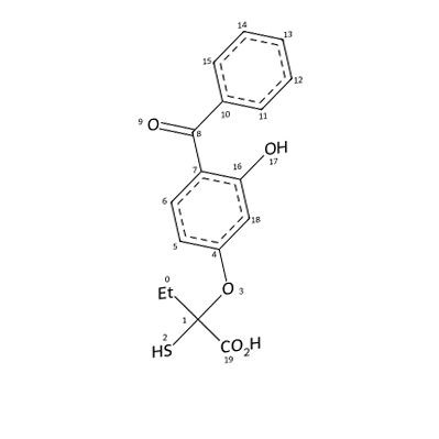 CCC(S)(Oc1ccc(C(=O)c2ccccc2)c(O)c1)C(=O)O